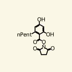 CCCCCc1cc(O)cc(O)c1C(=O)ON1C(=O)CCC1=O